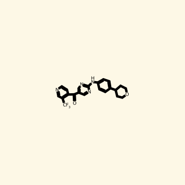 O=C(c1cnc(Nc2ccc(C3CCOCC3)cc2)nc1)c1ccncc1C(F)(F)F